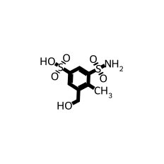 Cc1c(CO)cc(S(=O)(=O)O)cc1S(N)(=O)=O